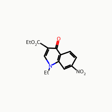 CCOC(=O)c1cn(CC)c2cc([N+](=O)[O-])ccc2c1=O